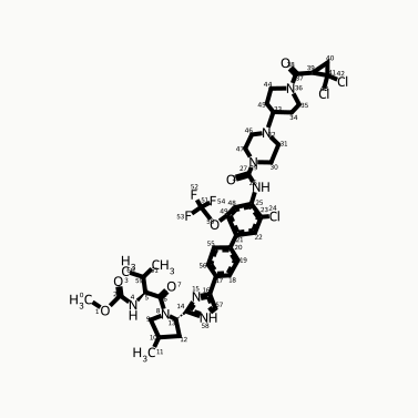 COC(=O)N[C@H](C(=O)N1CC(C)C[C@H]1c1nc(-c2ccc(-c3cc(Cl)c(NC(=O)N4CCN(C5CCN(C(=O)C6CC6(Cl)Cl)CC5)CC4)cc3OC(F)(F)F)cc2)c[nH]1)C(C)C